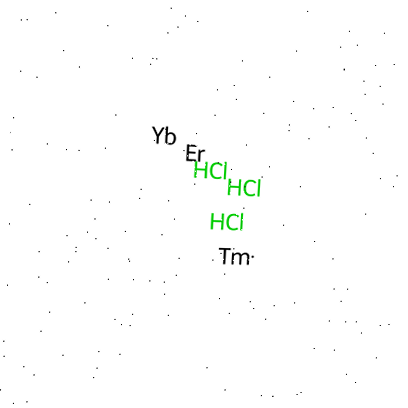 Cl.Cl.Cl.[Er].[Tm].[Yb]